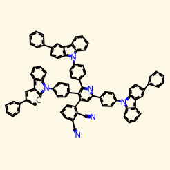 N#Cc1cccc(-c2cc(-c3ccc(-n4c5ccccc5c5cc(-c6ccccc6)ccc54)cc3)nc(-c3ccc(-n4c5ccccc5c5cc(-c6ccccc6)ccc54)cc3)c2-c2ccc(-n3c4ccccc4c4cc(-c5ccccc5)ccc43)cc2)c1C#N